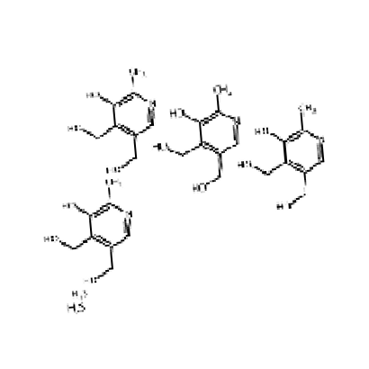 Cc1ncc(CO)c(CO)c1O.Cc1ncc(CO)c(CO)c1O.Cc1ncc(CO)c(CO)c1O.Cc1ncc(CO)c(CO)c1O.S.S